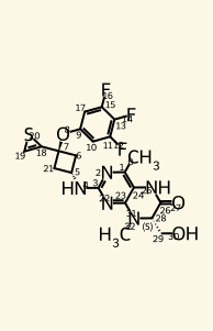 Cc1nc(N[C@H]2C[C@@](Oc3cc(F)c(F)c(F)c3)(C3=CS3)C2)nc2c1NC(=O)[C@H](CO)N2C